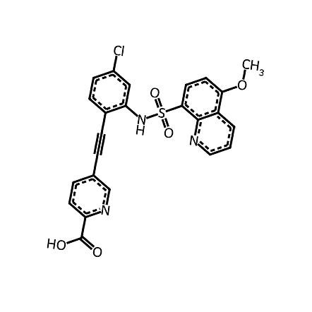 COc1ccc(S(=O)(=O)Nc2cc(Cl)ccc2C#Cc2ccc(C(=O)O)nc2)c2ncccc12